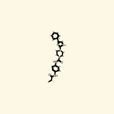 CCC(=O)Nc1ccc(NC(=O)N2CCN(c3nc(-c4ccccc4)cs3)CC2)cc1